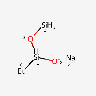 CC[SiH]([O-])O[SiH3].[Na+]